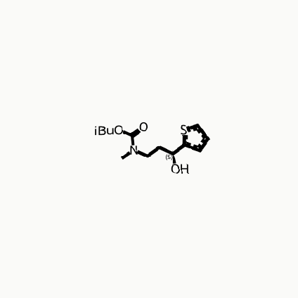 CC(C)COC(=O)N(C)CC[C@H](O)c1cccs1